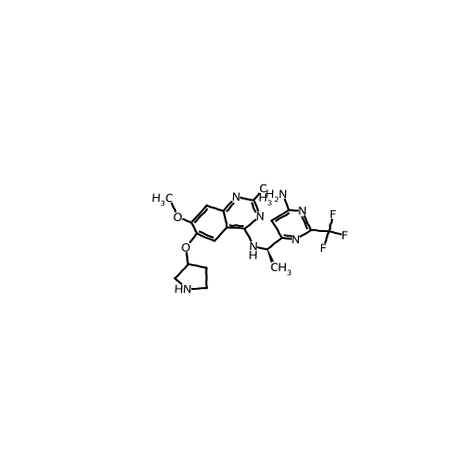 COc1cc2nc(C)nc(N[C@H](C)c3cc(N)nc(C(F)(F)F)n3)c2cc1OC1CCNC1